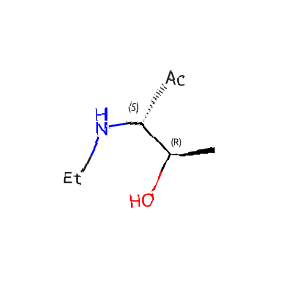 CCN[C@H](C(C)=O)[C@@H](C)O